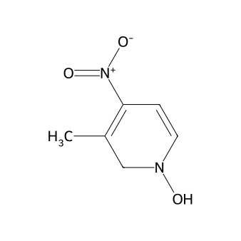 CC1=C([N+](=O)[O-])C=CN(O)C1